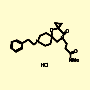 CNC(=O)CCN1CC2(CCN(CCc3ccccc3)CC2)OC2(CC2)C1=O.Cl